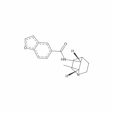 C[C@@H]1[C@H](NC(=O)c2ccc3occc3c2)C2CCN1CC2